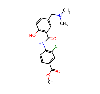 COC(=O)c1ccc(NC(=O)c2cc(CN(C)C)ccc2O)c(Cl)c1